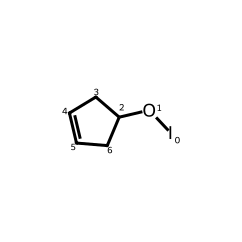 IOC1CC=CC1